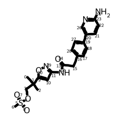 CC(C)(COS(C)(=O)=O)c1cc(NC(=O)Cc2ccc(-c3ccc(N)nc3)cc2)no1